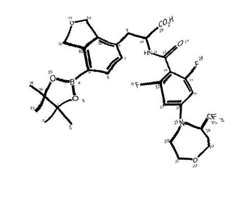 CC1(C)OB(c2ccc(CC(NC(=O)c3c(F)cc(N4CCOCC4C(F)(F)F)cc3F)C(=O)O)c3c2COC3)OC1(C)C